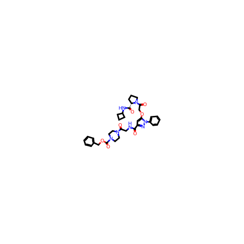 O=C(NCC(=O)N1CCN(C(=O)OCc2ccccc2)CC1)c1cc(OCC(=O)N2CCC[C@H]2C(=O)NC2CCC2)n(-c2ccccc2)n1